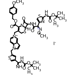 CO/N=C(\C(=O)N[C@@H]1C(=O)N2C(C(=O)OCc3ccc(OC)cc3)=C(C[n+]3ccc4c(ccn4Cc4cc(C(=N)NC(=O)OC(C)(C)C)cs4)c3)CS[C@H]12)c1csc(NC(=O)OC(C)(C)C)n1.[I-]